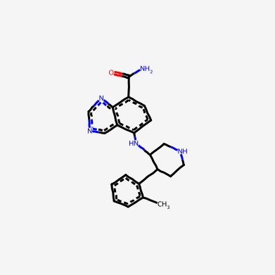 Cc1ccccc1C1CCNCC1Nc1ccc(C(N)=O)c2ncncc12